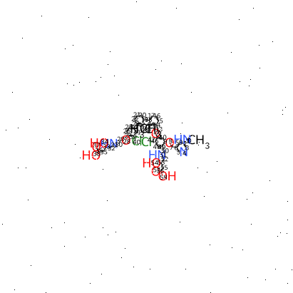 CNc1cncc(COc2cc(OCc3cccc(-c4cccc(-c5ccc(OCCNC[C@@H](O)CC(=O)O)c(Cl)c5)c4C)c3C)c(Cl)cc2CNC[C@@H](O)CC(=O)O)c1